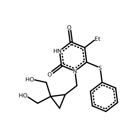 CCc1c(Sc2ccccc2)n(CC2CC2(CO)CO)c(=O)[nH]c1=O